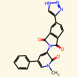 Cn1cc(-c2ccccc2)cc(N2C(=O)c3ccc(-c4c[nH]nn4)cc3C2=O)c1=O